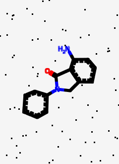 Nc1cccc2c1C(=O)N(c1ccccc1)C2